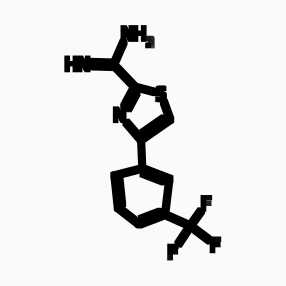 N=C(N)c1nc(-c2cccc(C(F)(F)F)c2)cs1